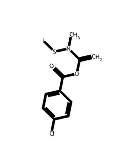 C=C(OC(=O)c1ccc(Cl)cc1)N(C)SI